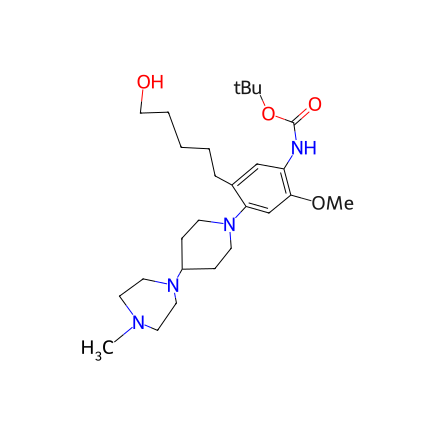 COc1cc(N2CCC(N3CCN(C)CC3)CC2)c(CCCCCO)cc1NC(=O)OC(C)(C)C